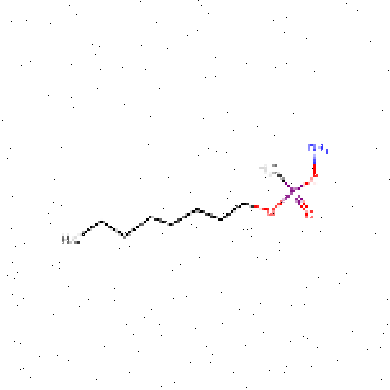 CCCCCCCCOP(C)(=O)ON